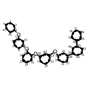 c1ccc(Oc2cccc(Oc3ccccc3Oc3cccc(Oc4cccc(-c5cccc(-c6ccccc6)c5)c4)c3)c2)cc1